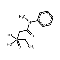 CCS(=O)(O)(O)CC(=O)N(C)c1ccccc1